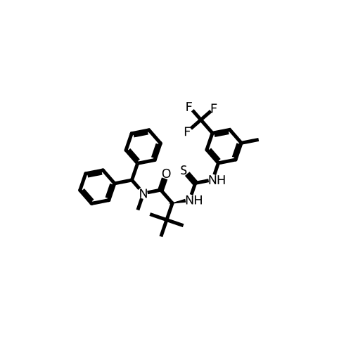 Cc1cc(NC(=S)N[C@H](C(=O)N(C)C(c2ccccc2)c2ccccc2)C(C)(C)C)cc(C(F)(F)F)c1